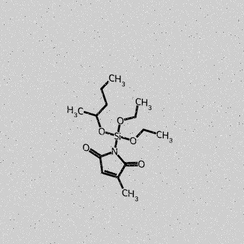 CCCC(C)O[Si](OCC)(OCC)N1C(=O)C=C(C)C1=O